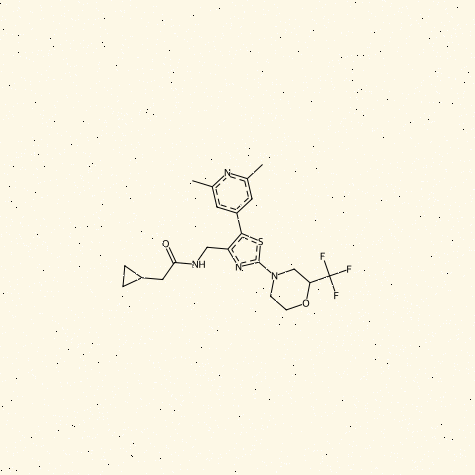 Cc1cc(-c2sc(N3CCOC(C(F)(F)F)C3)nc2CNC(=O)CC2CC2)cc(C)n1